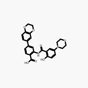 O=C(Nc1cc(-c2ccc3c(c2)OCCO3)ccc1C(=O)O)c1cc(N2CCOCC2)ccc1O